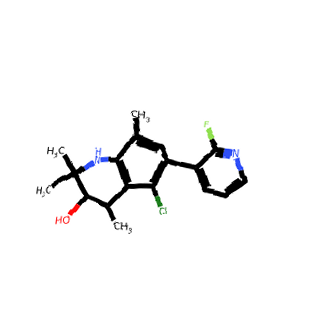 Cc1cc(-c2cccnc2F)c(Cl)c2c1NC(C)(C)C(O)C2C